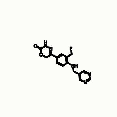 O=C1NN=C(c2ccc(NCc3cncnc3)c(CF)c2)CO1